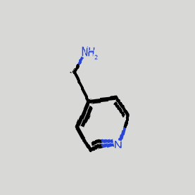 N[CH]c1ccncc1